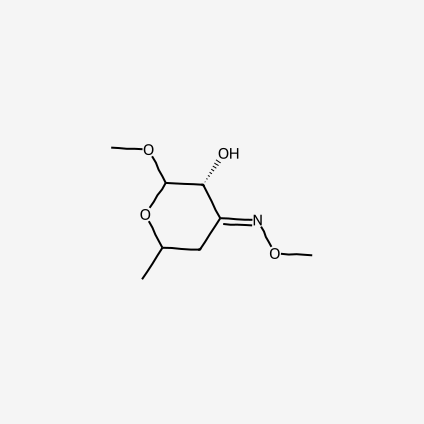 CO/N=C1\CC(C)OC(OC)[C@@H]1O